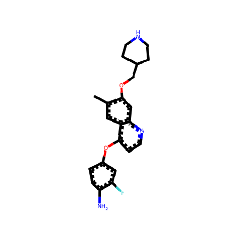 Cc1cc2c(Oc3ccc(N)c(F)c3)ccnc2cc1OCC1CCNCC1